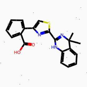 CC1(C)N=C(c2nc(-c3ccccc3C(=O)O)cs2)Nc2ccccc21